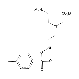 CCOC(=O)CN(CCNC)CCNOS(=O)(=O)c1ccc(C)cc1